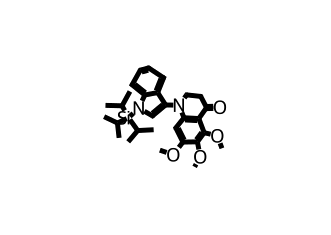 COc1cc2c(c(OC)c1OC)C(=O)CCN2c1cn([Si](C(C)C)(C(C)C)C(C)C)c2ccccc12